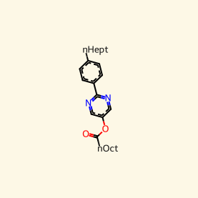 CCCCCCCCC(=O)Oc1cnc(-c2ccc(CCCCCCC)cc2)nc1